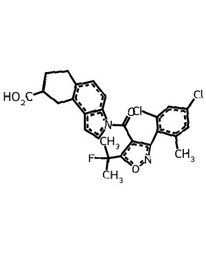 Cc1cc(Cl)cc(Cl)c1-c1noc(C(C)(C)F)c1C(=O)n1ccc2c3c(ccc21)CCC(C(=O)O)C3